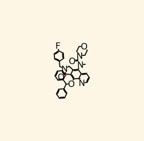 CN(C(=O)N1CCOCC1)c1c2c(c(OC(c3ccccc3)c3ccccc3)c3ncccc13)C(=O)N(Cc1ccc(F)cc1)C2